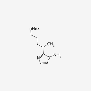 CCCCCCCCCC(C)c1nccn1N